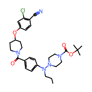 CCCN(c1ccc(C(=O)N2CCC(Oc3ccc(C#N)c(Cl)c3)CC2)cc1)N1CCN(C(=O)OC(C)(C)C)CC1